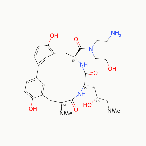 CNC[C@H](O)C[C@@H]1NC(=O)[C@@H](NC)Cc2cc(ccc2O)-c2ccc(O)c(c2)C[C@@H](C(=O)N(CCN)CCO)NC1=O